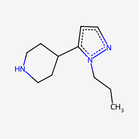 CCCn1nccc1C1CCNCC1